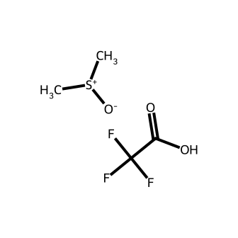 C[S+](C)[O-].O=C(O)C(F)(F)F